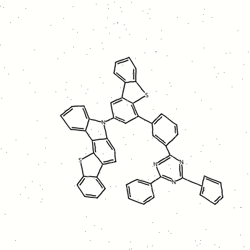 c1ccc(-c2nc(-c3ccccc3)nc(-c3cccc(-c4cc(-n5c6ccccc6c6c7sc8ccccc8c7ccc65)cc5c4sc4ccccc45)c3)n2)cc1